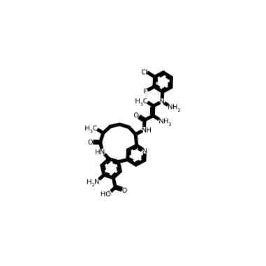 C/C(=C(/N)C(=O)NC1CCCC(C)C(=O)Nc2cc(N)c(C(=O)O)cc2-c2ccnc1c2)N(N)c1cccc(Cl)c1F